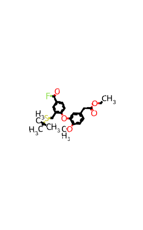 CCOC(=O)Cc1ccc(OC)c(Oc2ccc(C(=O)F)cc2CSC(C)(C)C)c1